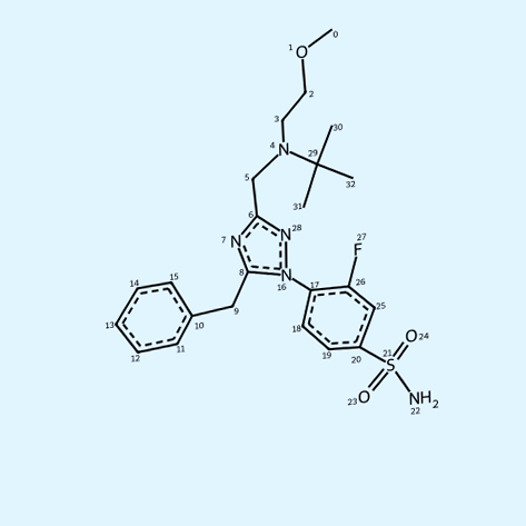 COCCN(Cc1nc(Cc2ccccc2)n(-c2ccc(S(N)(=O)=O)cc2F)n1)C(C)(C)C